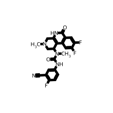 CN1Cc2[nH]c(=O)c3cc(F)c(F)cc3c2C(N(C)C(=O)Nc2ccc(F)c(C#N)c2)C1